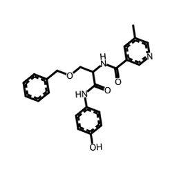 Cc1cncc(C(=O)NC(COCc2ccccc2)C(=O)Nc2ccc(O)cc2)c1